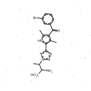 Cc1[nH]c(-c2nnn(C(C)C(N)C(=O)O)n2)c(C)c1C(=O)c1cccc(Br)c1